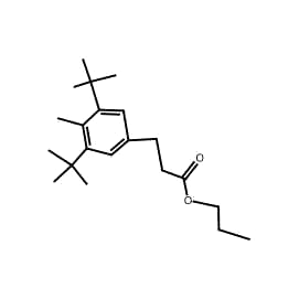 CCCOC(=O)CCc1cc(C(C)(C)C)c(C)c(C(C)(C)C)c1